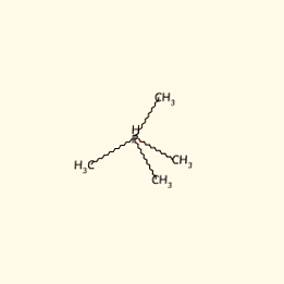 CCCCCCCCCCCCCCCC[PH](CCCCCCCCCCCCCCC)(CCCCCCCCCCCCCCC)CCCCCCCCCCCCCCC